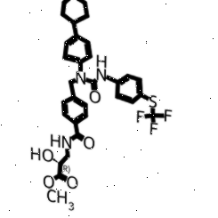 COC(=O)[C@H](O)CNC(=O)c1ccc(CN(C(=O)Nc2ccc(SC(F)(F)F)cc2)c2ccc(C3CCCCC3)cc2)cc1